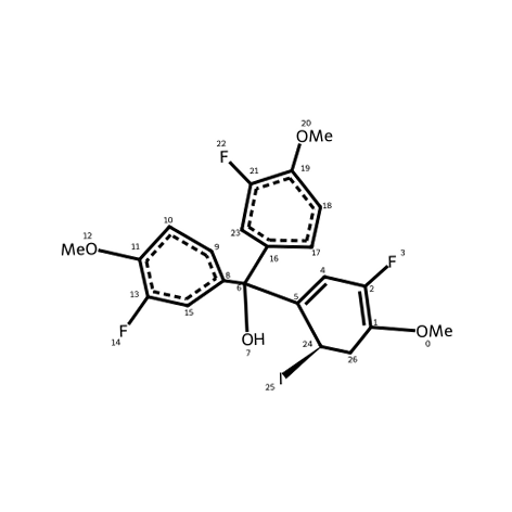 COC1=C(F)C=C(C(O)(c2ccc(OC)c(F)c2)c2ccc(OC)c(F)c2)[C@H](I)C1